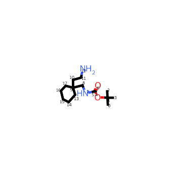 CC(C)(C)OC(=O)NCC1(CCN)CCCCC1